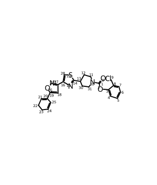 O=C(Oc1ccccc1Cl)N1CCC(c2nc(-c3cc(C4=CCCC=C4)on3)cs2)CC1